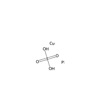 O=S(=O)(O)O.[Cu].[P]